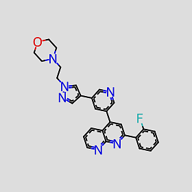 Fc1ccccc1-c1cc(-c2cncc(-c3cnn(CCN4CCOCC4)c3)c2)c2cccnc2n1